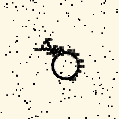 COC(=O)CCCN(CCCC(=O)OC)[C@@H]1[C@H](O)[C@H](O[C@H]2/C=C/C=C/C=C/C=C/C=C/C=C/C=C/[C@H](C)[C@@H](O)[C@@H](C)[C@H](C)OC(=O)C[C@H](O)C[C@H](O)CC[C@@H](O)[C@H](O)C[C@H](O)C[C@]3(O)C[C@H](O)[C@@H](C(=O)O)C(C2)O3)O[C@H](C)[C@H]1O